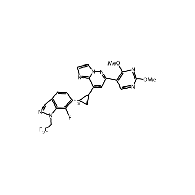 COc1ncc(-c2cc(C3C[C@@H]3c3ccc4cnn(CC(F)(F)F)c4c3F)c3nccn3n2)c(OC)n1